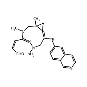 CN1CC2(C)C/C2=C(\Nc2ccc3cnccc3c2)CN(N)/N=C1\C=C/C=O